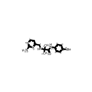 CC(C)(NCc1ccnc(N)n1)C(=O)Nc1ccc(C(C)(C)C)cc1